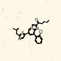 CCCCC(=O)c1cn2cc(-c3cnc(CC(C)C)s3)cc(-c3ccccc3Cl)c2n1